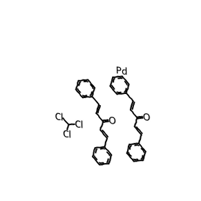 ClC(Cl)Cl.O=C(C=Cc1ccccc1)C=Cc1ccccc1.O=C(C=Cc1ccccc1)C=Cc1ccccc1.[Pd]